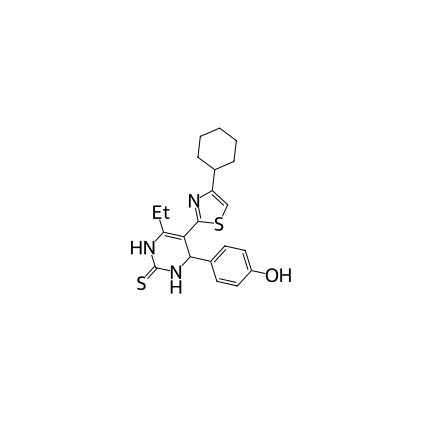 CCC1=C(c2nc(C3CCCCC3)cs2)C(c2ccc(O)cc2)NC(=S)N1